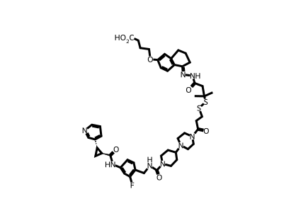 CC(C)(CC(=O)N/N=C1\CCCc2cc(OCCCC(=O)O)ccc21)SSCCC(=O)N1CCN(C2CCN(C(=O)NCc3ccc(NC(=O)[C@H]4C[C@@H]4c4cccnc4)cc3F)CC2)CC1